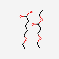 CCOCCC(=O)OCC.CCOCCCCC(=O)O